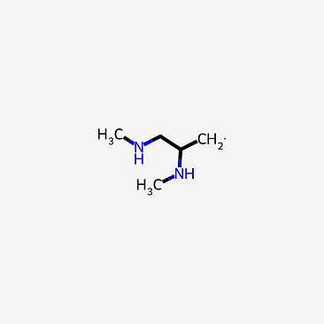 [CH2]C(CNC)NC